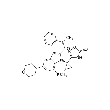 C[C@H]1C[C@]1(c1noc(=O)[nH]1)n1c(C(=O)N(C)c2ccccc2)cc2cc(C3CCOCC3)cc(F)c21